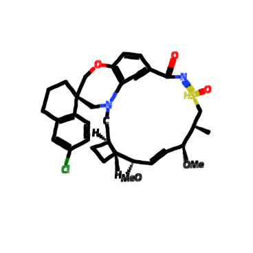 CO[C@H]1/C=C/[C@H](OC)[C@H](C)C/[SH](=O)=N\C(=O)c2ccc3c(c2)N(C[C@@H]2CC[C@H]21)C[C@@]1(CCCc2cc(Cl)ccc21)CO3